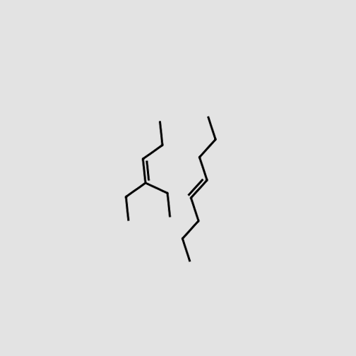 CCC=C(CC)CC.CCCC=CCCC